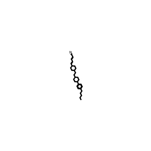 CCCCCc1ccc(C2CCC(CCC3CCC(C=CC=CC#N)CC3)CC2)cc1